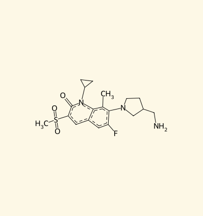 Cc1c(N2CCC(CN)C2)c(F)cc2cc(S(C)(=O)=O)c(=O)n(C3CC3)c12